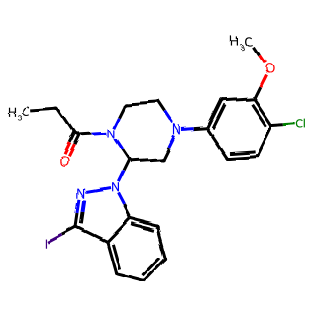 CCC(=O)N1CCN(c2ccc(Cl)c(OC)c2)CC1n1nc(I)c2ccccc21